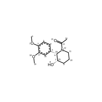 COc1ccc([C@H]2[C@@H](O)CCCN2C(C)=O)cc1OC